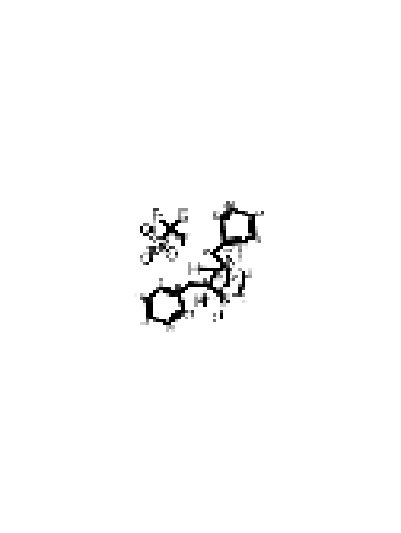 C[N@@+]12CC[N@@](C[C@@H]1Cc1ccccc1)[C@@H](Cc1ccccc1)C2.O=S(=O)([O-])C(F)(F)F